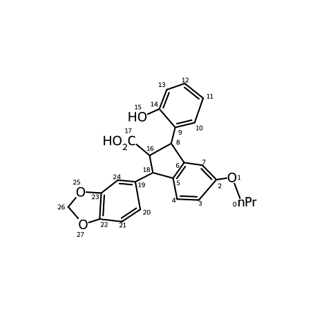 CCCOc1ccc2c(c1)C(c1ccccc1O)C(C(=O)O)C2c1ccc2c(c1)OCO2